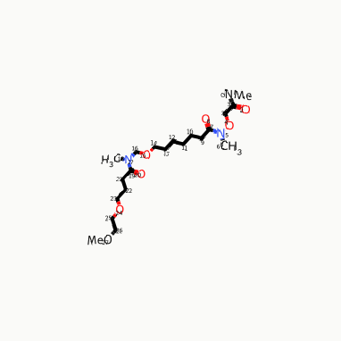 CNC(=O)CON(C)C(=O)CCCCCCOCN(C)C(=O)CCCOCCOC